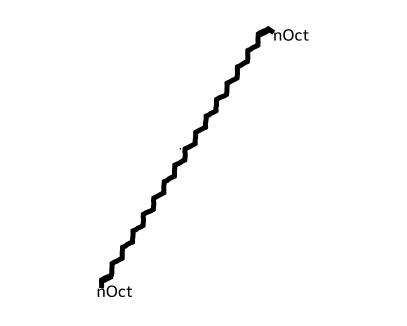 CCCCCCCCC=CCCCCCCCCCCCCCC[CH]CCCCCCCCCCCCC/C=C\CCCCCCCC